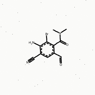 CN(C)C(=O)c1c(C=O)cc(C#N)c(N)c1Br